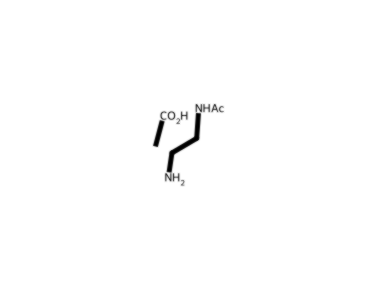 CC(=O)NCCN.CC(=O)O